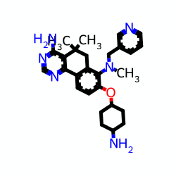 CN(Cc1cccnc1)c1c(OC2CCC(N)CC2)ccc2c1CC(C)(C)c1c(N)ncnc1-2